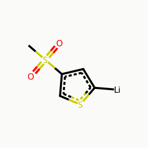 [Li][c]1cc(S(C)(=O)=O)cs1